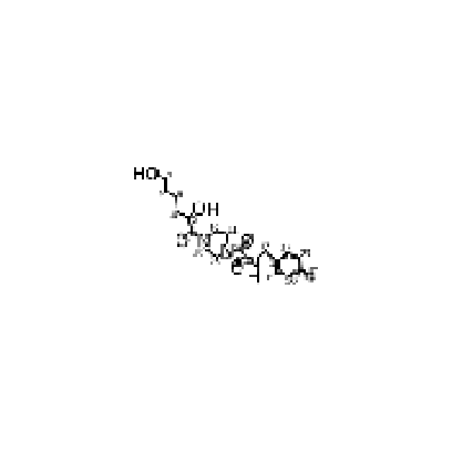 O=C(C(O)CCCCO)N1CCN(S(=O)(=O)NCc2ccc(F)cc2)CC1